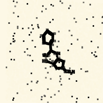 CC(C)(C)C(N[C@@H]1CN(C(=O)O)C[C@H]1O)c1ccccc1